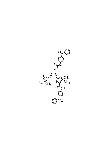 CC(C)(C)CCOCC(CCC(=O)Nc1ccc(C(=O)c2ccccc2)cc1)OCC(CCC(=O)Nc1ccc(C(=O)c2ccccc2)cc1)OC(C)(C)C